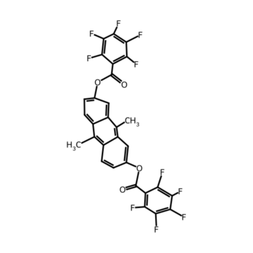 Cc1c2ccc(OC(=O)c3c(F)c(F)c(F)c(F)c3F)cc2c(C)c2cc(OC(=O)c3c(F)c(F)c(F)c(F)c3F)ccc12